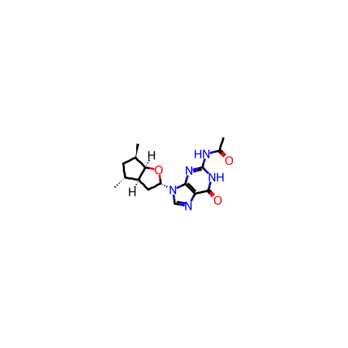 CC(=O)Nc1nc2c(ncn2[C@@H]2C[C@@H]3[C@H](O2)[C@H](C)C[C@H]3C)c(=O)[nH]1